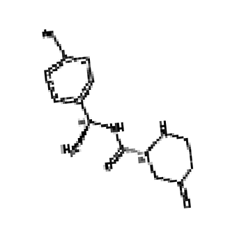 CC(=O)c1ccc([C@H](C)NC(=O)[C@H]2CC(=O)CCN2)cc1